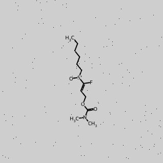 CCCCCC[S+]([O-])/C(F)=C/COC(=O)N(C)C